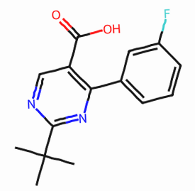 CC(C)(C)c1ncc(C(=O)O)c(-c2cccc(F)c2)n1